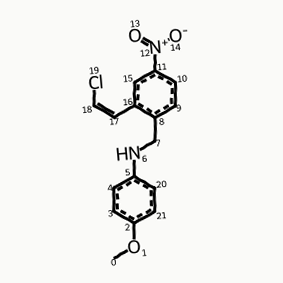 COc1ccc(NCc2ccc([N+](=O)[O-])cc2/C=C\Cl)cc1